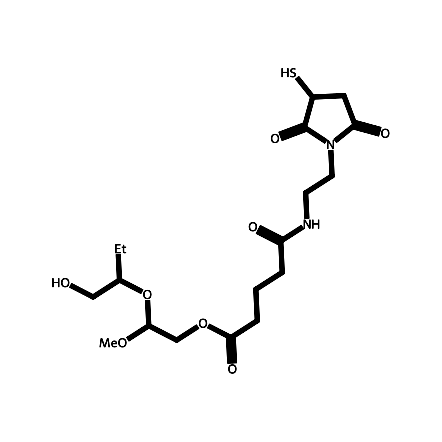 CCC(CO)OC(COC(=O)CCCC(=O)NCCN1C(=O)CC(S)C1=O)OC